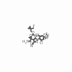 N#Cc1nn(-c2c(Cl)cc(S(F)(F)(F)(F)F)cc2Cl)c(NC(=O)OCC2(CF)CC2)c1C1(C(N)=O)CC1